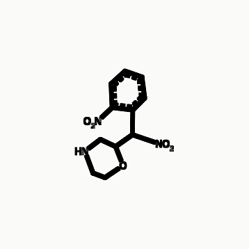 O=[N+]([O-])c1ccccc1C(C1CNCCO1)[N+](=O)[O-]